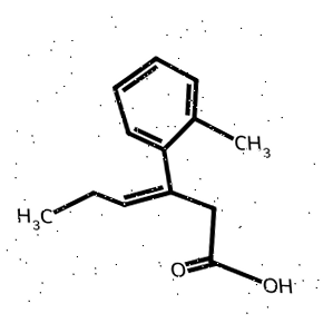 CC/C=C(/CC(=O)O)c1ccccc1C